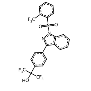 O=S(=O)(c1ccccc1C(F)(F)F)n1nc(-c2ccc(C(O)(C(F)(F)F)C(F)(F)F)cc2)c2ccccc21